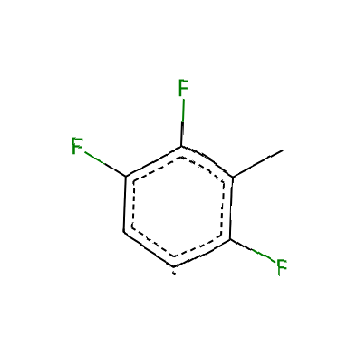 Cc1c(F)[c]cc(F)c1F